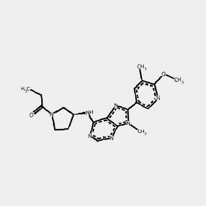 CCC(=O)N1CC[C@H](Nc2ncnc3c2nc(-c2cnc(OC)c(C)c2)n3C)C1